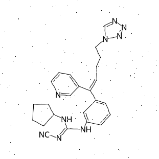 N#CN=C(Nc1cccc(C(=CCCCn2cnnn2)c2cccnc2)c1)NC1CCCC1